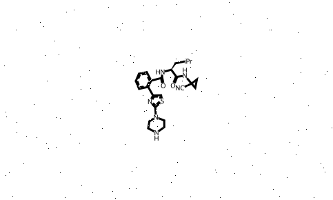 CC(C)C[C@H](NC(=O)c1ccccc1-c1csc(N2CCNCC2)n1)C(=O)NC1(C#N)CC1